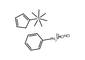 Cl.Cl.Pc1ccccc1.[CH3][Ti]([CH3])([CH3])([CH3])([CH3])([CH3])[C]1=CC=CC1.[SiH4]